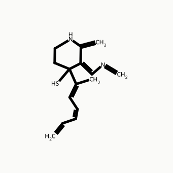 C=C/C=C\C=C(/C)C1(S)CCNC(=C)/C1=C\N=C